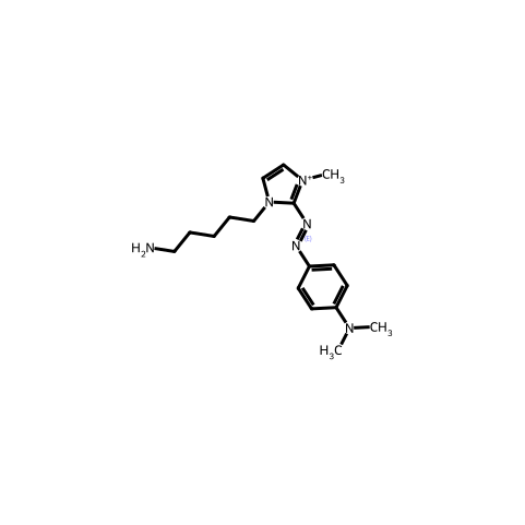 CN(C)c1ccc(/N=N/c2n(CCCCCN)cc[n+]2C)cc1